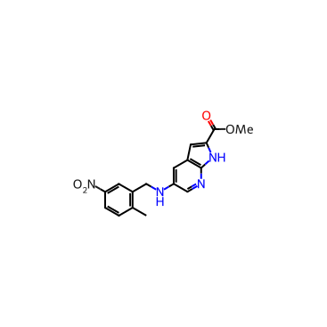 COC(=O)c1cc2cc(NCc3cc([N+](=O)[O-])ccc3C)cnc2[nH]1